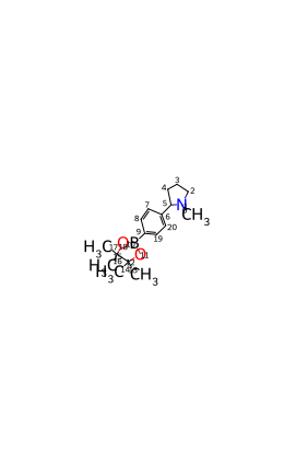 CN1CCCC1c1ccc(B2OC(C)(C)C(C)(C)O2)cc1